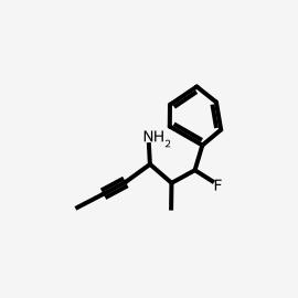 CC#CC(N)C(C)C(F)c1ccccc1